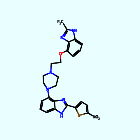 O=[N+]([O-])c1ccc(-c2nc3c(N4CCN(CCOc5cccc6[nH]c(C(F)(F)F)nc56)CC4)cccc3[nH]2)s1